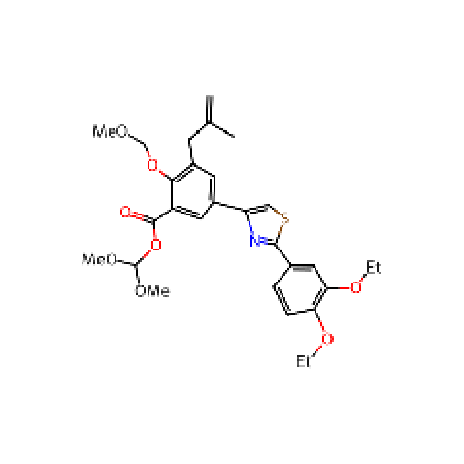 C=C(C)Cc1cc(-c2csc(-c3ccc(OCC)c(OCC)c3)n2)cc(C(=O)OC(OC)OC)c1OCOC